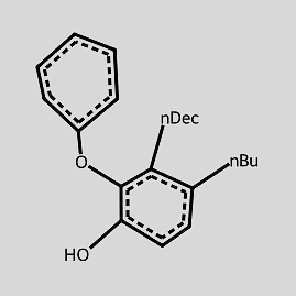 CCCCCCCCCCc1c(CCCC)ccc(O)c1Oc1ccccc1